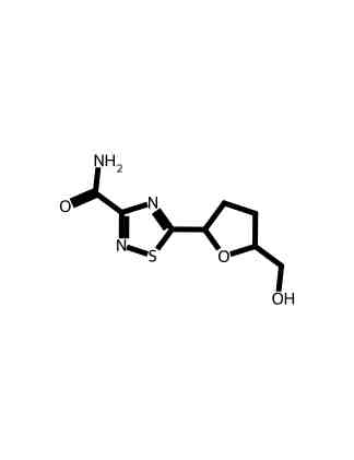 NC(=O)c1nsc(C2CCC(CO)O2)n1